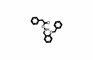 O=C(Cc1ccccc1)ONCc1ccccc1OCc1ccccc1